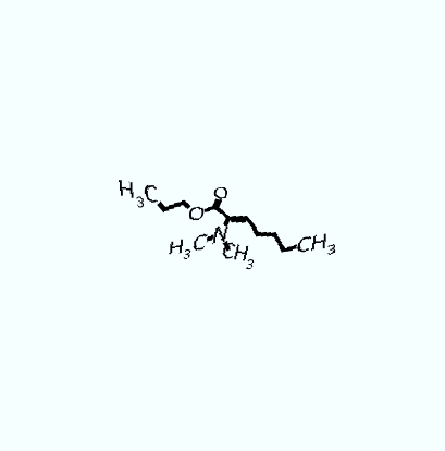 CCCCC=C(C(=O)OCCC)N(C)C